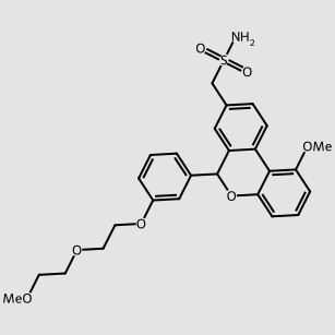 COCCOCCOc1cccc(C2Oc3cccc(OC)c3-c3ccc(CS(N)(=O)=O)cc32)c1